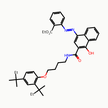 CCOC(=O)c1ccccc1N=Nc1cc(C(=O)NCCCCOc2ccc(C(C)(C)CC)cc2C(C)(C)CC)c(O)c2ccccc12